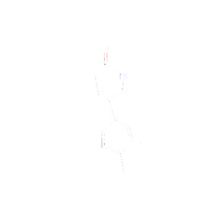 Cc1ccc(C2=NNC(=O)C[C@H]2C)cc1